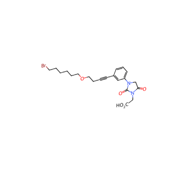 O=C(O)CN1C(=O)CN(c2cccc(C#CCCOCCCCCCBr)c2)C1=O